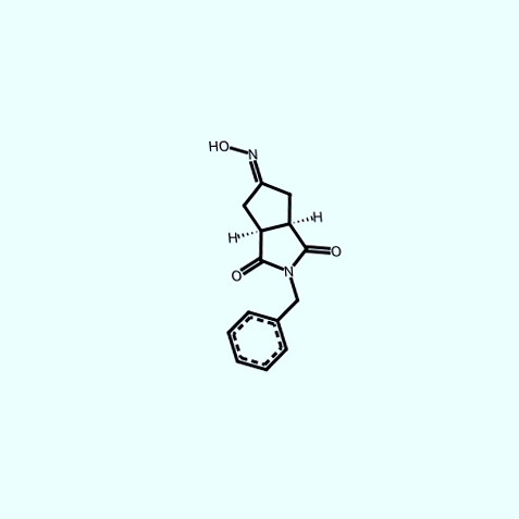 O=C1[C@H]2C/C(=N\O)C[C@H]2C(=O)N1Cc1ccccc1